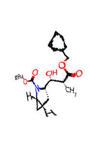 C[C@@H](C(=O)OCc1ccccc1)[C@@H](O)[C@@H]1C[C@@H]2C[C@@H]2N1C(=O)OC(C)(C)C